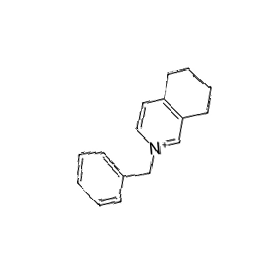 c1ccc(C[n+]2ccc3c(c2)CCCC3)cc1